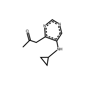 CC(=O)Cc1ncncc1NC1CC1